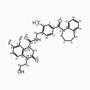 Cc1cc(C(=O)N2CCCCc3ccccc32)ccc1CNC(=O)N1CC(=O)N(CCO)c2ccc(F)c(F)c21